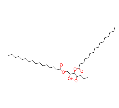 CCCCCCCCCCCCCCCC(=O)OCC(O)C(OC(=O)CCCCCCCCCCCCCCC)C(=O)CCC